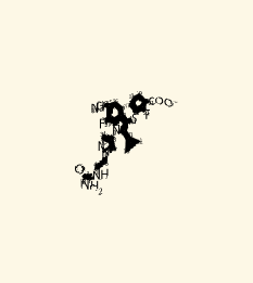 NC(=O)NCCn1cc(-n2c(C3CC3)c(Sc3cccc(C(=O)[O-])c3F)c3ccc(Cl)c(F)c32)cn1.[Na+]